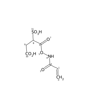 C=CC(=O)NOC(=O)C(CC(=O)O)S(=O)(=O)O